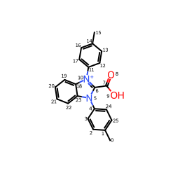 Cc1ccc(-n2c(C(=O)O)[n+](-c3ccc(C)cc3)c3ccccc32)cc1